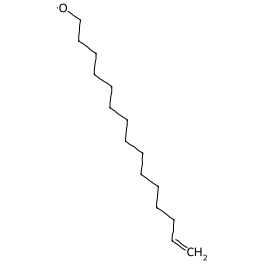 C=CCCCCCCCCCCCCC[O]